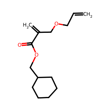 C=CCOCC(=C)C(=O)OCC1CCCCC1